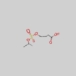 CC(C)OS(=O)(=O)OCCC(=O)O